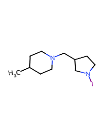 CC1CCN(CC2CCN(I)C2)CC1